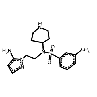 Cc1cccc(S(=O)(=O)N(CCn2nccc2N)C2CCNCC2)c1